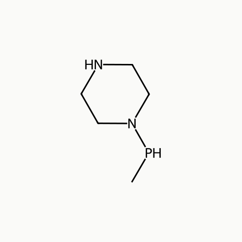 CPN1CCNCC1